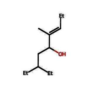 CC/C=C(\C)C(O)CC(CC)CC